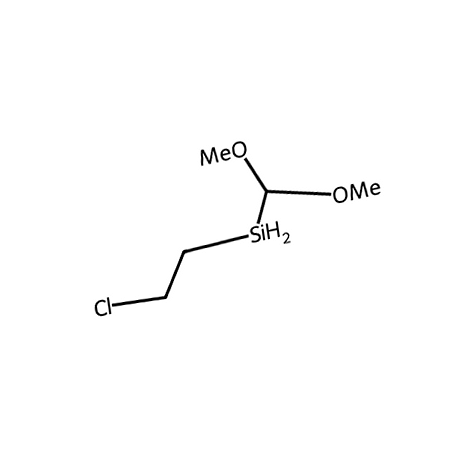 COC(OC)[SiH2]CCCl